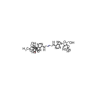 C[C@@H]1O[C@H]2C(n3cnc4c(NC/C=C/CNc5ncnc6c5ncn6C5OC(CO)[C@@H](O[PH](=O)S)[C@H]5F)ncnc43)OC1(CO)[C@H]2O[PH](=O)S